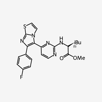 CC[C@H](C)C(Nc1nccc(-c2c(-c3ccc(F)cc3)nc3sccn23)n1)C(=O)OC